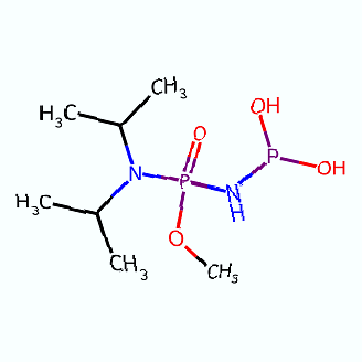 COP(=O)(NP(O)O)N(C(C)C)C(C)C